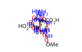 COCCOCCNC(=O)CNC(=O)[C@@H]1CSCC(=O)N[C@@H](CC(=O)O)C(=O)N[C@H]2CSSC[C@H](NC(=O)[C@H](CC(=O)O)NC(=O)CNC(=O)[C@H](CCCNC(=N)N)NC2=O)C(=O)N[C@@H](Cc2ccccc2)C(=O)N1